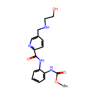 CC(C)(C)OC(=O)Nc1ccccc1NC(=O)c1ccc(CNCCO)cn1